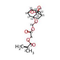 C=C(C)C(=O)OCC(=O)OCOC12CC3CC(C1)OC(=O)C(C3)C2